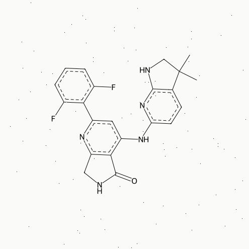 CC1(C)CNc2nc(Nc3cc(-c4c(F)cccc4F)nc4c3C(=O)NC4)ccc21